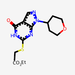 CCOC(=O)CSc1nc2c(cnn2C2CCOCC2)c(=O)[nH]1